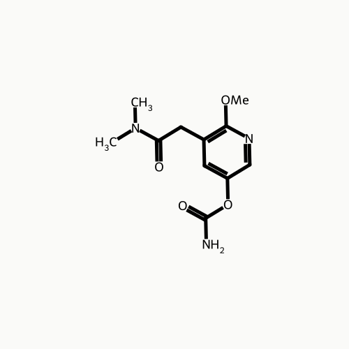 COc1ncc(OC(N)=O)cc1CC(=O)N(C)C